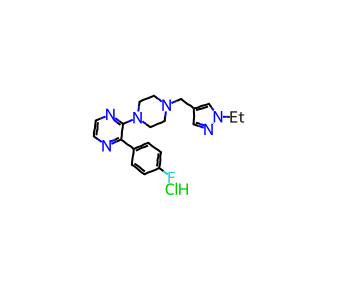 CCn1cc(CN2CCN(c3nccnc3-c3ccc(F)cc3)CC2)cn1.Cl